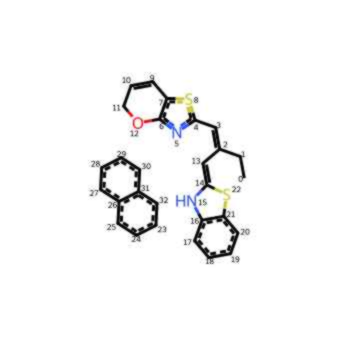 CCC(=Cc1nc2c(s1)C=CCO2)C=C1Nc2ccccc2S1.c1ccc2ccccc2c1